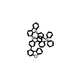 c1ccc([Si](c2ccccc2)(c2ccccc2)c2ccc(-n3c4ccccc4c4cccc(-n5c6ccccc6c6cc(-c7cccc8oc9ccccc9c78)ccc65)c43)cc2)cc1